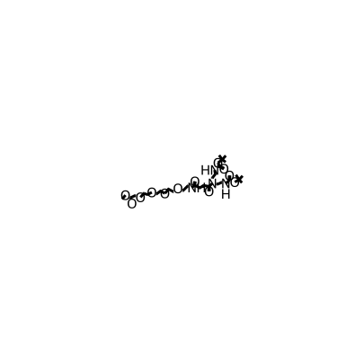 COC(=O)COCCOCCOCCOCCNC(=O)CCC(=O)N(CCNC(=O)OC(C)(C)C)CCNC(=O)OC(C)(C)C